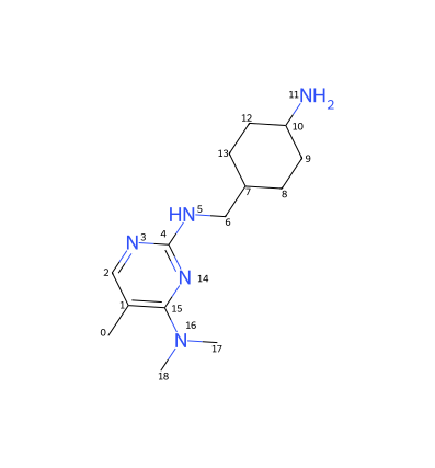 Cc1cnc(NCC2CCC(N)CC2)nc1N(C)C